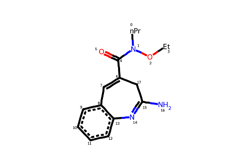 CCCN(OCC)C(=O)C1=Cc2ccccc2N=C(N)C1